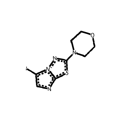 Ic1cnc2sc(N3CCOCC3)nn12